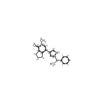 CC(c1ccccc1)n1cc(-c2cn(C)c(=O)c3c2CCC3)cn1